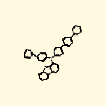 c1ccc(-c2ccc(-c3ccc(N(c4ccc(-c5ccccc5)cc4)c4cccc5c4oc4ccccc45)cc3)cc2)cc1